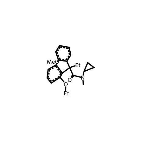 CCOc1ccccc1C(CC)(C(=O)N(C)C1CC1)c1ccccc1OC